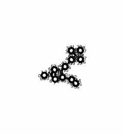 c1ccc(-n2c3ccccc3c3c(N(c4ccc(-c5ccc([Si](c6ccccc6)(c6ccccc6)c6ccccc6)cc5)cc4)c4cccc(-c5ccc6ccccc6c5)c4)cccc32)cc1